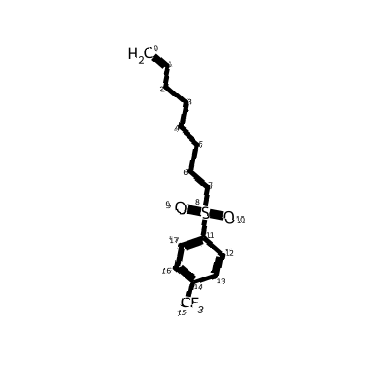 C=CCCCCCCS(=O)(=O)c1ccc(C(F)(F)F)cc1